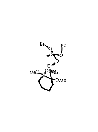 CCO[Si](C)(OCC)OCC.COC1(OC)CCCC[Si]1(OC)OC